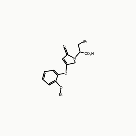 CCOc1ccccc1OC1=CC(=O)N(C(CC(C)C)C(=O)O)C1